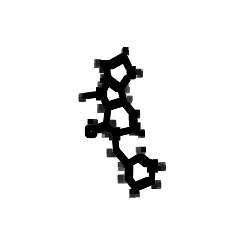 Cn1c2ncsc2c2cnn(Cc3cccnc3)c(=O)c21